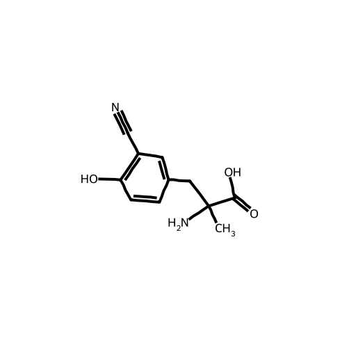 CC(N)(Cc1ccc(O)c(C#N)c1)C(=O)O